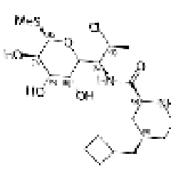 CS[C@H]1OC([C@H](NC(=O)[C@@H]2C[C@H](CC3CCC3)CCN2)[C@H](C)Cl)[C@H](O)[C@H](O)[C@H]1O